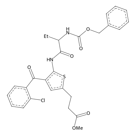 CCC(NC(=O)OCc1ccccc1)C(=O)Nc1sc(CCC(=O)OC)cc1C(=O)c1ccccc1Cl